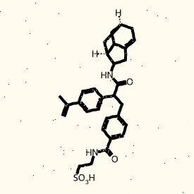 C=C(C)c1ccc(C(Cc2ccc(C(=O)NCCS(=O)(=O)O)cc2)C(=O)NC2CC3=CC[C@@H]4CC3[C@@H]2C4)cc1